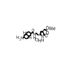 COC(=O)C[C@@H]1C[C@@H](CCNC(=O)C2CC[C@H]3CC(N)CC[C@@H]3C2)NC1=O.Cl